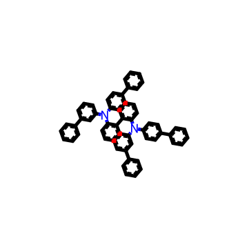 c1ccc(-c2ccc(N(c3cccc(-c4ccccc4)c3)c3ccccc3-c3ccccc3N(c3ccc(-c4ccccc4)cc3)c3cccc(-c4ccccc4)c3)cc2)cc1